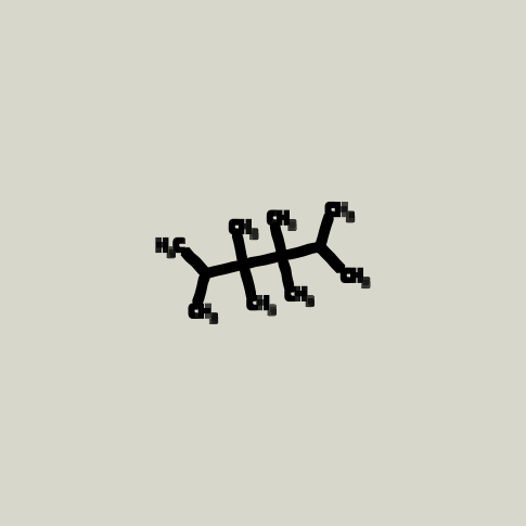 C[C](C)C(C)(C)C(C)(C)[C](C)C